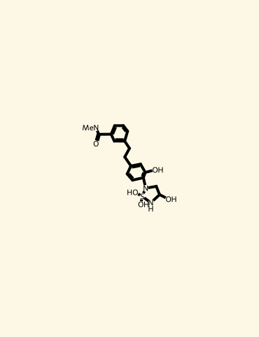 CNC(=O)c1cccc(CCc2ccc(N3CC(O)NS3(O)O)c(O)c2)c1